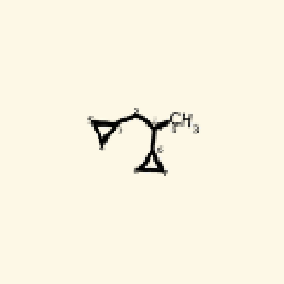 C[C](CC1CC1)C1CC1